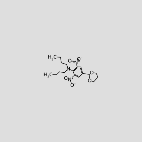 CCCCN(CCCC)c1c([N+](=O)[O-])cc(C2OCCCO2)cc1[N+](=O)[O-]